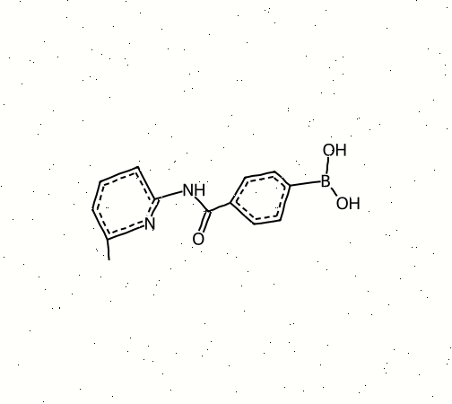 Cc1cccc(NC(=O)c2ccc(B(O)O)cc2)n1